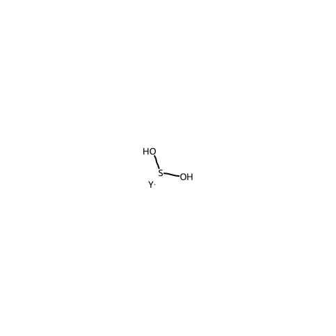 OSO.[Y]